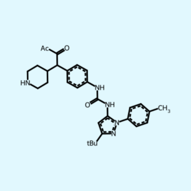 CC(=O)C(=O)C(c1ccc(NC(=O)Nc2cc(C(C)(C)C)nn2-c2ccc(C)cc2)cc1)C1CCNCC1